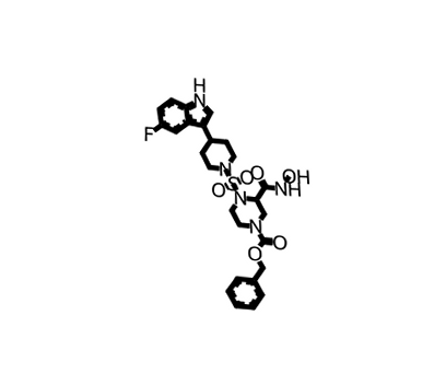 O=C(NO)C1CN(C(=O)OCc2ccccc2)CCN1S(=O)(=O)N1CCC(c2c[nH]c3ccc(F)cc23)CC1